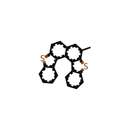 Cc1cc2ccc3sc4ccccc4c3c2c2c1sc1ccccc12